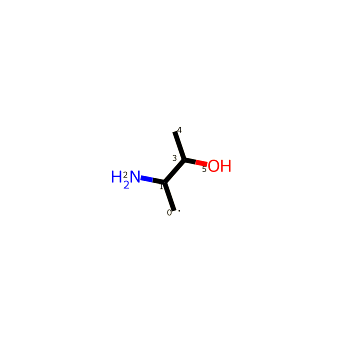 [CH2]C(N)C(C)O